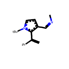 C=C(c1c(/C=N\C)ccn1C(C)(C)C)C(C)C